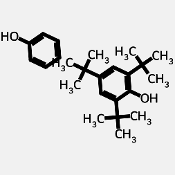 CC(C)(C)c1cc(C(C)(C)C)c(O)c(C(C)(C)C)c1.Oc1ccccc1